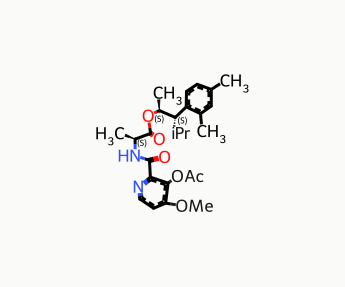 COc1ccnc(C(=O)N[C@@H](C)C(=O)O[C@@H](C)[C@H](c2ccc(C)cc2C)C(C)C)c1OC(C)=O